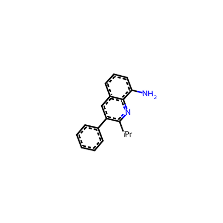 CC(C)c1nc2c(N)cccc2cc1-c1ccccc1